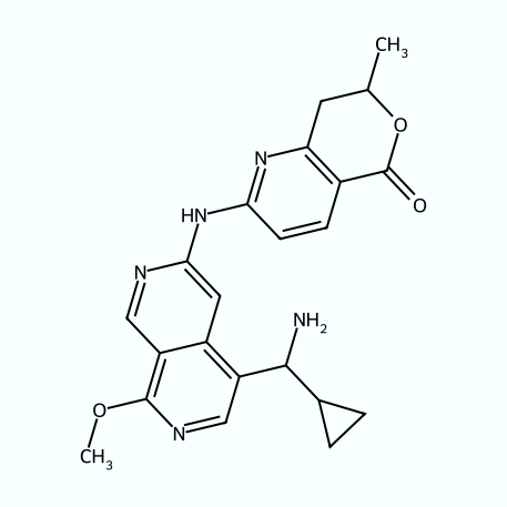 COc1ncc(C(N)C2CC2)c2cc(Nc3ccc4c(n3)CC(C)OC4=O)ncc12